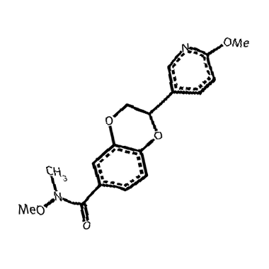 COc1ccc(C2COc3cc(C(=O)N(C)OC)ccc3O2)cn1